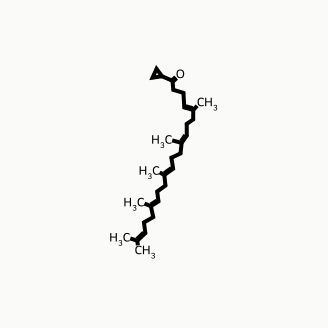 CC(C)=CCC/C(C)=C/CC/C(C)=C/CC/C(C)=C/CC/C(C)=C/CCC(=O)C1CC1